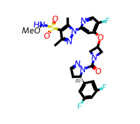 CONS(=O)(=O)c1c(C)nn(-c2cc(OC3CN(C(=O)N4N=CC[C@H]4c4cc(F)cc(F)c4)C3)c(F)cn2)c1C